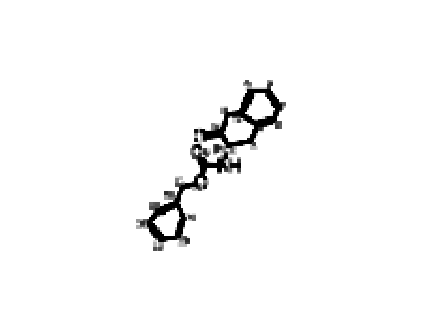 O=C(N[C@@H]1Cc2ccccc2CC1=O)OCc1ccccc1